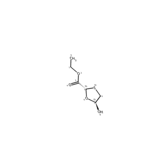 CCOC(=O)[C@H]1O[C@H](O)CS1